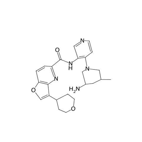 CC1CC(N)CN(c2ccncc2NC(=O)c2ccc3occ(C4CCOCC4)c3n2)C1